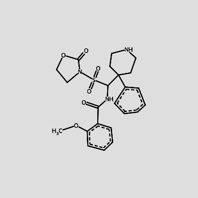 COc1ccccc1C(=O)NC(C1(c2ccccc2)CCNCC1)S(=O)(=O)N1CCOC1=O